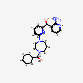 Nc1ncccc1C(=O)c1cccc(N2CCCN(C(=O)C3CCCCC3)CC2)n1